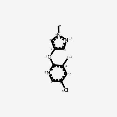 Cn1cc(Oc2ncc(Cl)cc2I)cn1